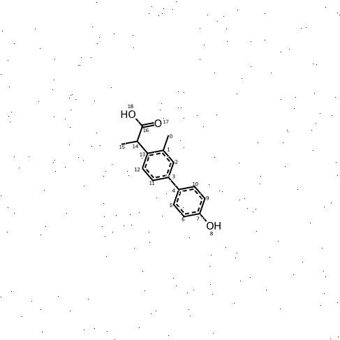 Cc1cc(-c2ccc(O)cc2)ccc1C(C)C(=O)O